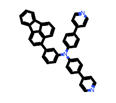 c1cc(-c2ccc3c4c(cccc24)-c2ccccc2-3)cc(N(c2ccc(-c3ccncc3)cc2)c2ccc(-c3ccncc3)cc2)c1